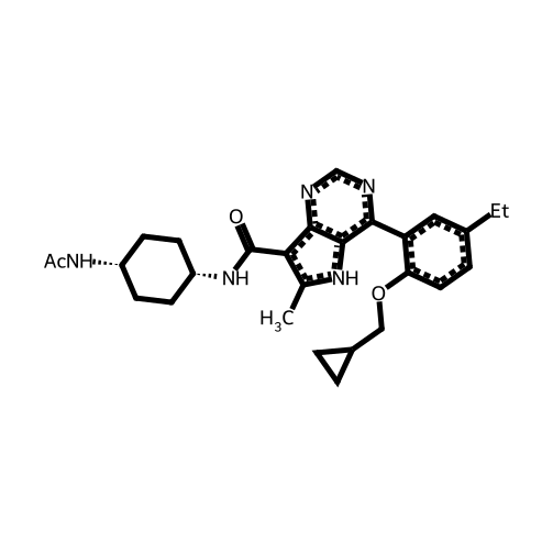 CCc1ccc(OCC2CC2)c(-c2ncnc3c(C(=O)N[C@H]4CC[C@@H](NC(C)=O)CC4)c(C)[nH]c23)c1